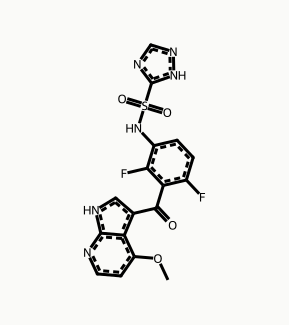 COc1ccnc2[nH]cc(C(=O)c3c(F)ccc(NS(=O)(=O)c4ncn[nH]4)c3F)c12